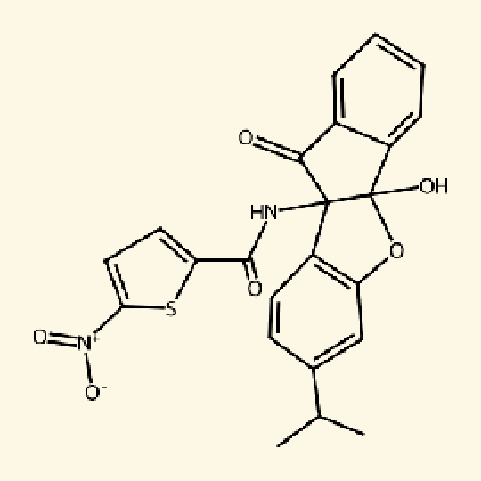 CC(C)c1ccc2c(c1)OC1(O)c3ccccc3C(=O)C21NC(=O)c1ccc([N+](=O)[O-])s1